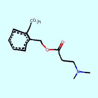 CN(C)CCC(=O)OCc1ccccc1C(=O)O